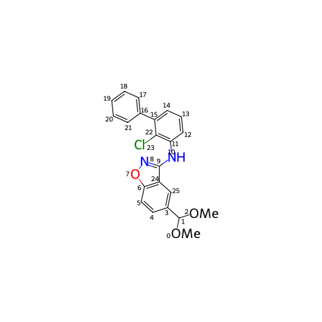 COC(OC)c1ccc2onc(Nc3cccc(-c4ccccc4)c3Cl)c2c1